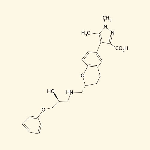 Cc1c(-c2ccc3c(c2)CC[C@H](CNC[C@H](O)COc2ccccc2)O3)c(C(=O)O)nn1C